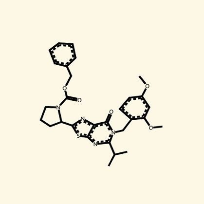 COc1ccc(Cn2c(C(C)C)nc3sc(C4CCCN4C(=O)OCc4ccccc4)nc3c2=O)c(OC)c1